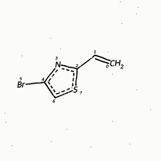 C=Cc1nc(Br)cs1